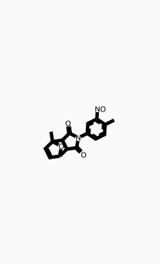 Cc1ccc(N2C(=O)C3C4C=CC(C)(O4)C3C2=O)cc1N=O